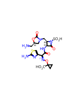 NC[C@@H]1CN(C[C@@H]2[C@H](NC(=O)/C(=N\OC3(C(=O)O)CC3)c3csc(N)n3)C(=O)N2S(=O)(=O)O)C(=O)O1